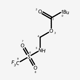 CC(C)(C)C(=O)OCNS(=O)(=O)C(F)(F)F